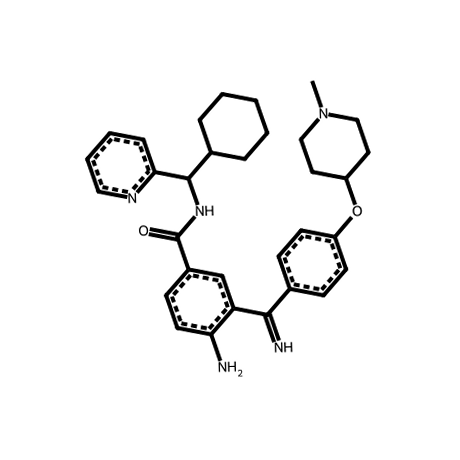 CN1CCC(Oc2ccc(C(=N)c3cc(C(=O)NC(c4ccccn4)C4CCCCC4)ccc3N)cc2)CC1